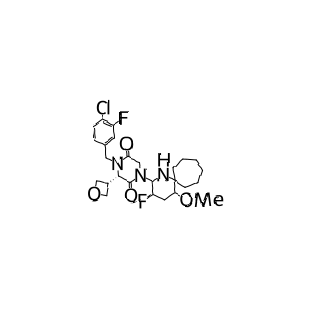 COC1CC(F)C(N2CC(=O)N(Cc3ccc(Cl)c(F)c3)[C@@H](C3COC3)C2=O)NC12CCCCCC2